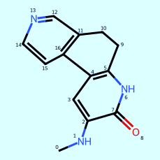 CNc1cc2c([nH]c1=O)CCc1cnccc1-2